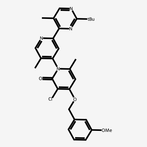 COc1cccc(COc2cc(C)n(-c3cc(-c4nc(C(C)(C)C)ncc4C)ncc3C)c(=O)c2Cl)c1